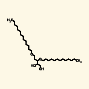 CCCCCCCCCCCCCCOCCC(OCCCCCCCCCCCCC)C(O)CO